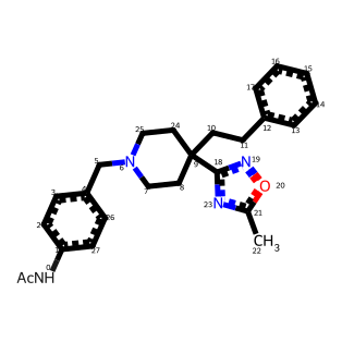 CC(=O)Nc1ccc(CN2CCC(CCc3ccccc3)(c3noc(C)n3)CC2)cc1